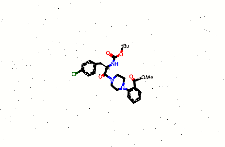 COC(=O)c1ccccc1N1CCN(C(=O)[C@@H](Cc2ccc(Cl)cc2)NC(=O)OC(C)(C)C)CC1